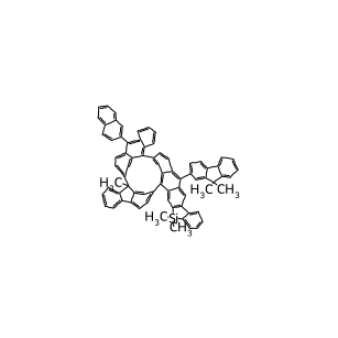 CC1(C)c2ccccc2-c2ccc(-c3c4ccc5cc4c(c4cc6c(cc34)-c3ccccc3[Si]6(C)C)-c3ccc4c(c3)C(C)(c3ccc6c(-c7ccc8ccccc8c7)c7ccccc7c-5c6c3)c3ccccc3-4)cc21